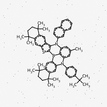 Cc1cc2c3c(c1)N(c1ccc4ccccc4c1)c1c(sc4cc5c(cc14)C(C)(C)CCC5(C)C)B3c1cc3c(cc1N2c1ccc(C(C)(C)C)cc1)C(C)(C)CCC3(C)C